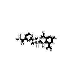 CNC(=O)c1ccnc(S(=O)(=O)NC(=O)Nc2c(C(C)C)cc(Cl)cc2C(C)C)n1